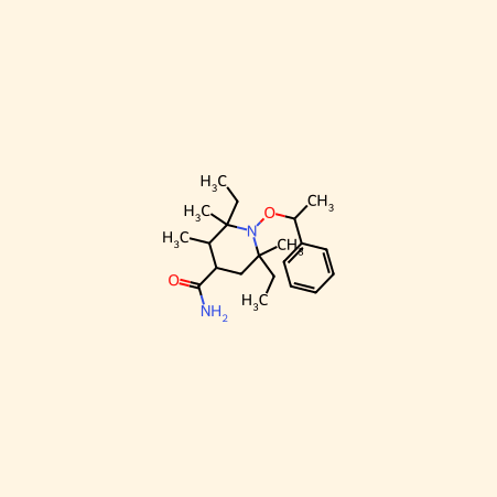 CCC1(C)CC(C(N)=O)C(C)C(C)(CC)N1OC(C)c1ccccc1